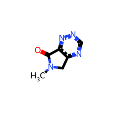 CN1Cc2ncnnc2C1=O